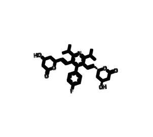 CC(C)c1nc(C(C)C)c(C=C[C@H]2C[C@H](O)CC(=O)O2)c(-c2ccc(F)cc2)c1C=CC1CC(O)CC(=O)O1